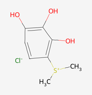 C[S+](C)c1ccc(O)c(O)c1O.[Cl-]